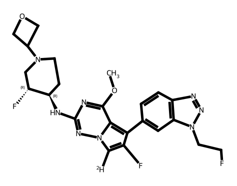 [2H]c1c(F)c(-c2ccc3nnn(CCF)c3c2)c2c(OC)nc(N[C@@H]3CCN(C4COC4)C[C@H]3F)nn12